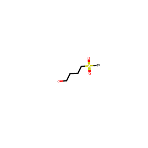 CC(C)S(=O)(=O)CCCC[O]